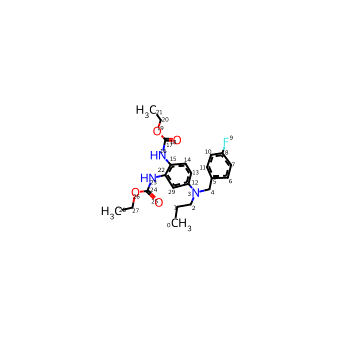 CCCN(Cc1ccc(F)cc1)c1ccc(NC(=O)OCC)c(NC(=O)OCC)c1